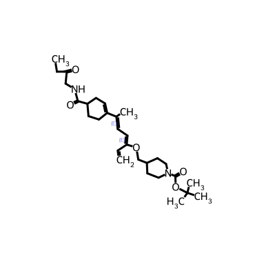 C=C/C(=C\C=C(/C)C1=CCC(C(=O)NCC(=O)CC)CC1)OCC1CCN(C(=O)OC(C)(C)C)CC1